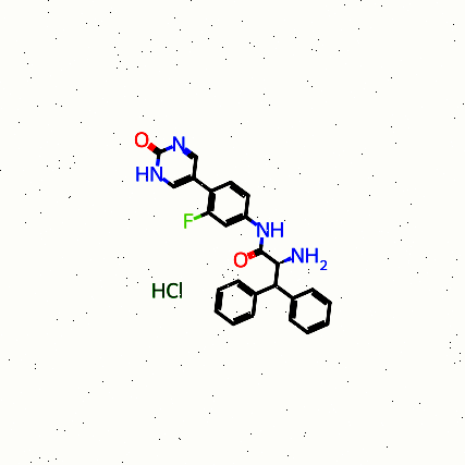 Cl.N[C@H](C(=O)Nc1ccc(-c2cnc(=O)[nH]c2)c(F)c1)C(c1ccccc1)c1ccccc1